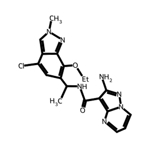 CCOc1c(C(C)NC(=O)c2c(N)nn3cccnc23)cc(Cl)c2cn(C)nc12